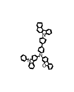 c1ccc(-n2c3ccccc3c3cc(N(c4ccc(-c5ccc(-n6c7ccccc7c7c8ccccc8ccc76)cc5)cc4)c4ccc5c(c4)oc4ccccc45)ccc32)cc1